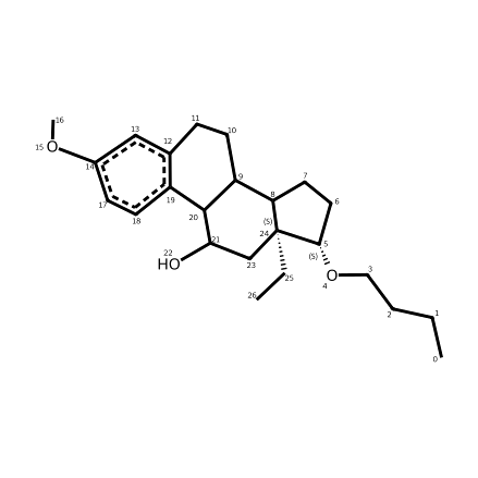 CCCCO[C@H]1CCC2C3CCc4cc(OC)ccc4C3C(O)C[C@@]21CC